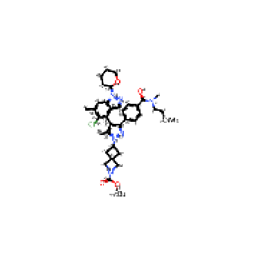 COCCN(C)C(=O)c1ccc(-c2nn(C3CC4(C3)CN(C(=O)OC(C)(C)C)C4)c(C)c2-c2c(Cl)c(C)cc3c2cnn3C2CCCCO2)cc1